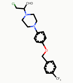 O=CC(CCl)N1CCN(c2ccc(OCc3ccc(C(F)(F)F)cc3)cc2)CC1